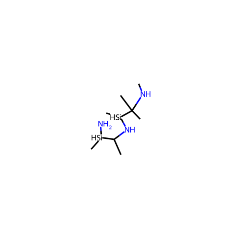 CNC(C)(C)[SiH](C)NC(C)[SiH](C)N